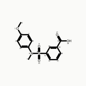 COc1ccc(N(C)S(=O)(=O)c2cccc(C(=O)O)c2)cc1